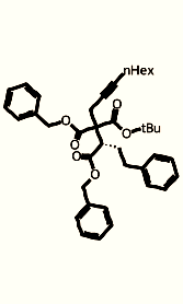 CCCCCCC#CCC(C(=O)OCc1ccccc1)(C(=O)OC(C)(C)C)[C@H](CCc1ccccc1)C(=O)OCc1ccccc1